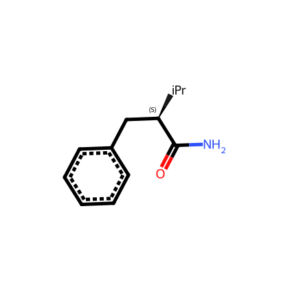 CC(C)[C@H](Cc1ccccc1)C(N)=O